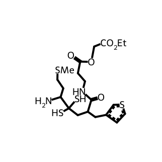 CCOC(=O)COC(=O)CCNC(=O)C(Cc1ccsc1)CC(S)(S)C(N)CCSC